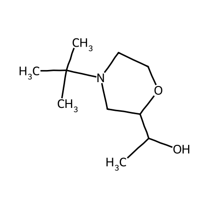 CC(O)C1CN(C(C)(C)C)CCO1